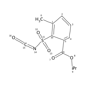 Cc1cccc(C(=O)OC(C)C)c1S(=O)(=O)N=C=O